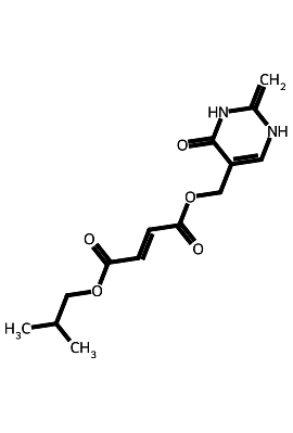 C=C1NC=C(COC(=O)/C=C/C(=O)OCC(C)C)C(=O)N1